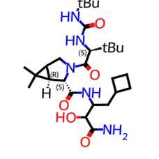 CC(C)(C)NC(=O)N[C@H](C(=O)N1CC2[C@@H]([C@H]1C(=O)NC(CC1CCC1)C(O)C(N)=O)C2(C)C)C(C)(C)C